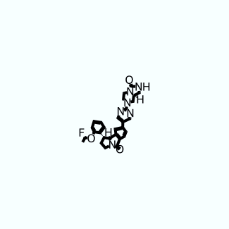 CC(F)Oc1ccccc1[C@H]1CCN2C(=O)c3ccc(-c4cnc(N5CCN6C(=O)NC[C@H]6C5)nc4)cc3[C@@H]12